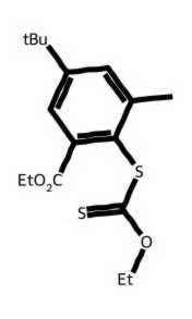 CCOC(=O)c1cc(C(C)(C)C)cc(C)c1SC(=S)OCC